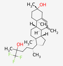 C=C1C=C2C[C@@](C)(O)CC[C@]2(C)[C@H]2CC[C@]3(C)[C@@H]([C@H](C)CCC(C)(O)C(F)(F)F)CC[C@H]3[C@H]12